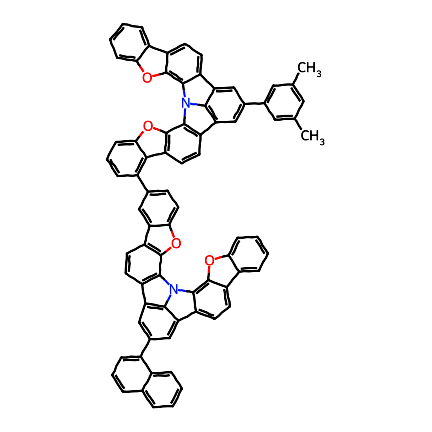 Cc1cc(C)cc(-c2cc3c4ccc5c6ccccc6oc5c4n4c3c(c2)c2ccc3c(oc5cccc(-c6ccc7oc8c(ccc9c%10cc(-c%11cccc%12ccccc%11%12)cc%11c%12ccc%13c%14ccccc%14oc%13c%12n(c%11%10)c98)c7c6)c53)c24)c1